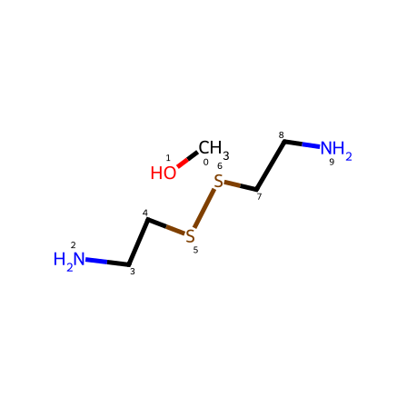 CO.NCCSSCCN